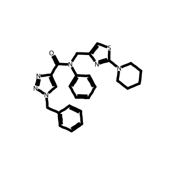 O=C(c1cn(Cc2ccccc2)nn1)N(Cc1csc(N2CCCCC2)n1)c1ccccc1